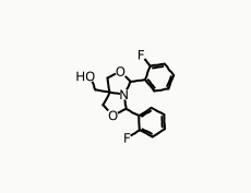 OCC12COC(c3ccccc3F)N1C(c1ccccc1F)OC2